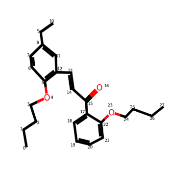 CCCCOc1ccc(CC)cc1C=CC(=O)c1ccccc1OCCCC